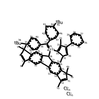 CC1=CC(C)(C)c2cc3c(cc21)-c1cc2c(cc1[CH]3[Zr+2]([C]1=C(C)C(c3ccccc3)=CC1C)=[C](c1ccc(C(C)(C)C)cc1)c1ccc(C(C)(C)C)cc1)C(C)(C)C=C2C.[Cl-].[Cl-]